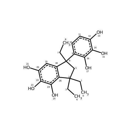 CCC1(CC)CC(CC)(c2ccc(O)c(O)c2O)c2cc(O)c(O)c(O)c21